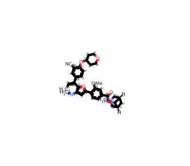 C=Nc1cc(-c2ccc(C(=O)N[C@H]3[C@@H]4C[C@H]3CN(C)C4)cc2OC)oc1/C(=C\C)c1ccc(OC2CCOCC2)c(C#N)c1